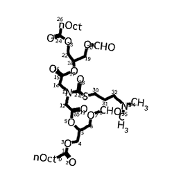 CCCCCCCCC(=O)OCC(COC=O)OC(=O)CN(CC(=O)OC(COC=O)COC(=O)CCCCCCCC)C(=O)SCCCN(C)C